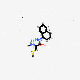 CN/C(=C\SC)C(=O)NC1CCCc2ccccc21